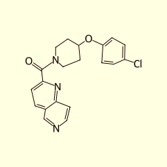 O=C(c1ccc2cnccc2n1)N1CCC(Oc2ccc(Cl)cc2)CC1